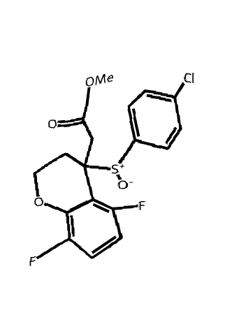 COC(=O)CC1([S+]([O-])c2ccc(Cl)cc2)CCOc2c(F)ccc(F)c21